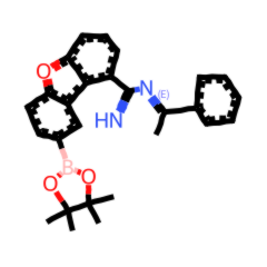 C/C(=N\C(=N)c1cccc2oc3ccc(B4OC(C)(C)C(C)(C)O4)cc3c12)c1ccccc1